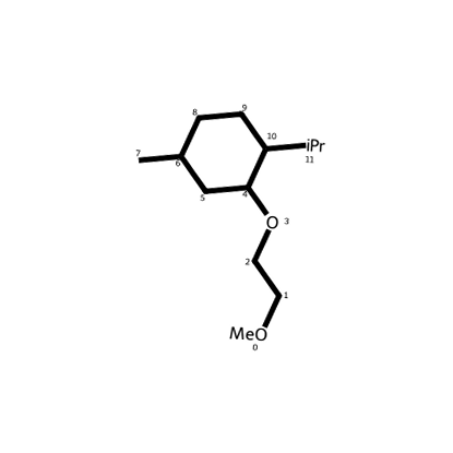 [CH2]OCCOC1CC(C)CCC1C(C)C